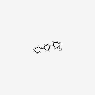 ClN1N=C(c2ccc(N3CCOCC3)cc2)C=CN1